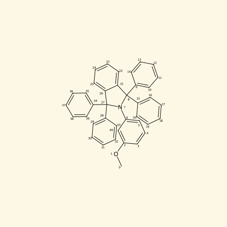 COc1cccc(N2C(c3ccccc3)(c3ccccc3)c3ccccc3C2(c2ccccc2)c2ccccc2)c1